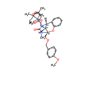 COc1ccc(COC[C@]23Oc4ccccc4[C@H]([C@H]2CO[Si](C)(C)C(C)(C)C)N(C(=O)CC(C)=O)C(=O)N3C)cc1